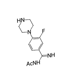 CC(=O)NC(=N)c1ccc(N2CCNCC2)c(F)c1